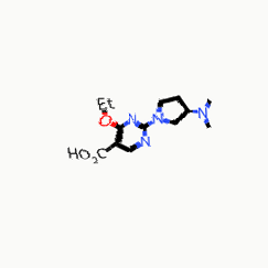 CCOc1nc(N2CC[C@@H](N(C)C)C2)ncc1C(=O)O